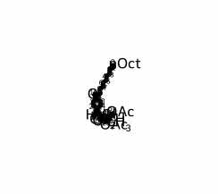 CCCCCCCCC=CCCCCCCCC(=O)N1CCC(C(CC(=O)O)NC(=O)C(OC(C)=O)C(C)(C)COC(C)=O)CC1